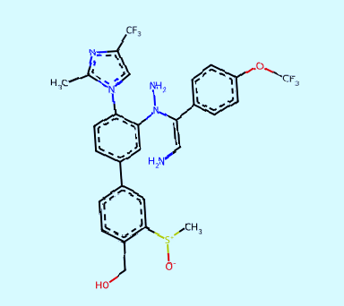 Cc1nc(C(F)(F)F)cn1-c1ccc(-c2ccc(CO)c([S+](C)[O-])c2)cc1N(N)/C(=C\N)c1ccc(OC(F)(F)F)cc1